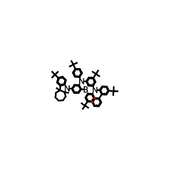 CC(C)(C)c1ccc(N2c3cc(N4c5ccc(C(C)(C)C)cc5C5(C)CCCCCC45C)ccc3B3c4cc(C(C)(C)C)ccc4N(c4ccc(C(C)(C)C)cc4-c4ccccc4)c4cc(C(C)(C)C)cc2c43)cc1